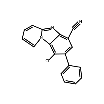 N#Cc1cc(-c2ccccc2)c(Cl)c2c1nc1ccccn12